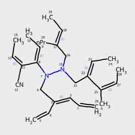 C=C/C=C(\C=C)CN(C(=C/C)/C(C#N)=C\C)N(C/C(=C/C)CCC)CC(=C/C)/C(C)=C\C